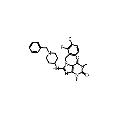 Cn1c(=O)c2c(nc(NC3CCN(Cc4ccccc4)CC3)n2Cc2cccc(Cl)c2F)n(C)c1=O